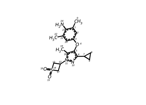 Cc1cc(Oc2c(C3CC3)nn(C3CS(=O)(=O)C3)c2C)cc(C)c1N